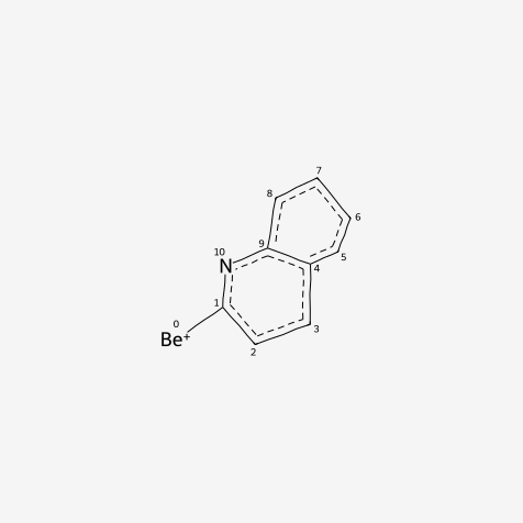 [Be+][c]1ccc2ccccc2n1